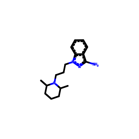 CC1CCCC(C)N1CCCn1nc(N)c2ccccc21